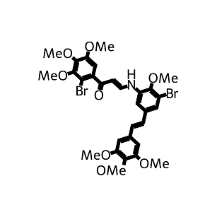 COc1cc(C=Cc2cc(Br)c(OC)c(NC=CC(=O)c3cc(OC)c(OC)c(OC)c3Br)c2)cc(OC)c1OC